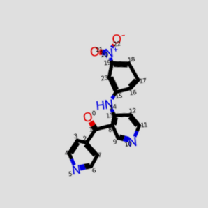 O=C(c1ccncc1)c1cnccc1Nc1cccc([N+](=O)[O-])c1